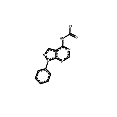 CCC(=O)Nc1ncnc2c1cnn2-c1ccccc1